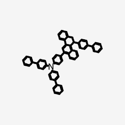 c1ccc(-c2ccc(C3Cc4ccccc4-c4cc(-c5ccc(N(c6ccc(-c7ccccc7)cc6)c6ccc(-c7ccccc7)cc6)cc5)c5ccccc5c43)cc2)cc1